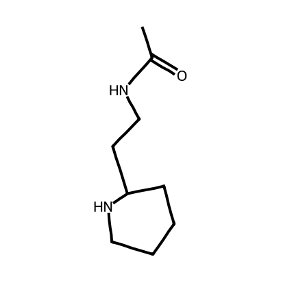 CC(=O)NCCC1CCCCN1